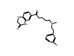 CN(CCCCC(=O)c1ccc2c(c1)NC(=O)CO2)CCc1cccc(F)c1